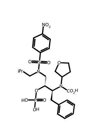 CC(C)CN(C[C@@H](OP(=O)(O)O)[C@H](Cc1ccccc1)N(C(=O)O)C1CCOC1)S(=O)(=O)c1ccc([N+](=O)[O-])cc1